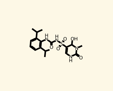 CC(C)c1cccc(C(C)C)c1NC(=O)NS(=O)(=O)C1=CNC(=O)N(C)C1O